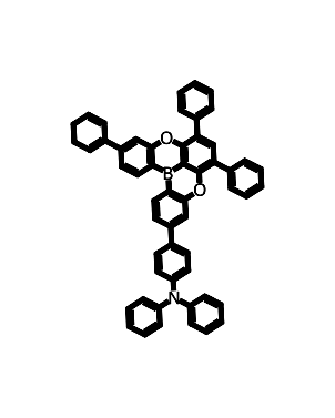 C1=CC(c2ccc3c(c2)Oc2c(-c4ccccc4)cc(-c4ccccc4)c4c2B3c2ccc(-c3ccc(N(c5ccccc5)c5ccccc5)cc3)cc2O4)=CCC1